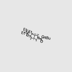 CC[Si](CC)(CC)OC1=CC2CN(C(=O)OC(C)(C)C)CC2C1